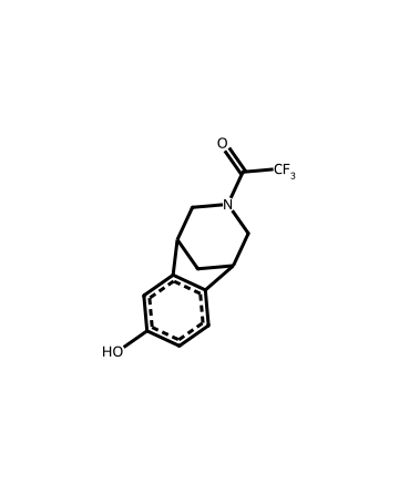 O=C(N1CC2CC(C1)c1cc(O)ccc12)C(F)(F)F